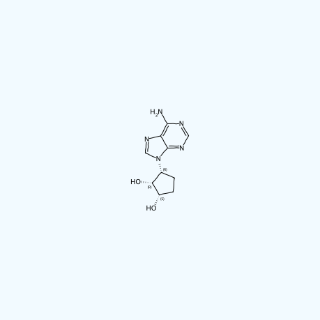 Nc1ncnc2c1ncn2[C@@H]1CC[C@H](O)[C@@H]1O